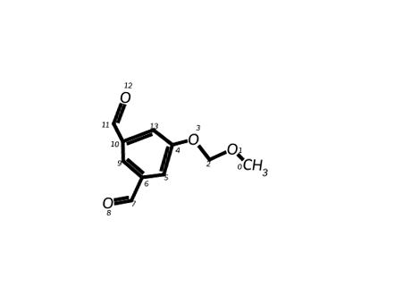 COCOc1cc(C=O)cc(C=O)c1